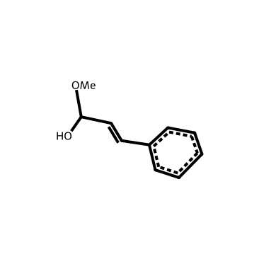 COC(O)C=Cc1ccccc1